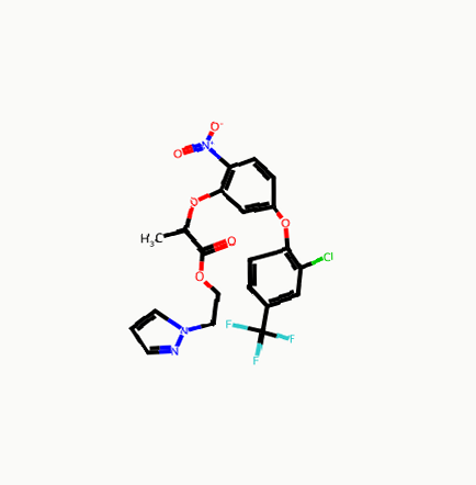 CC(Oc1cc(Oc2ccc(C(F)(F)F)cc2Cl)ccc1[N+](=O)[O-])C(=O)OCCn1cccn1